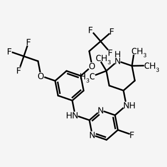 CC1(C)CC(Nc2nc(Nc3cc(OCC(F)(F)F)cc(OCC(F)(F)F)c3)ncc2F)CC(C)(C)N1